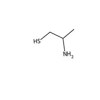 CC(N)CS